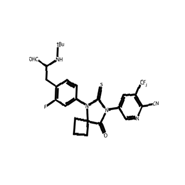 CC(C)(C)NC(C=O)Cc1ccc(N2C(=S)N(c3cnc(C#N)c(C(F)(F)F)c3)C(=O)C23CCC3)cc1F